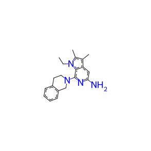 CCn1c(C)c(C)c2cc(N)nc(N3CCc4ccccc4C3)c21